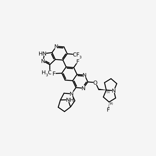 Cc1n[nH]c2ncc(C(F)(F)F)c(-c3c(F)cc4c(N5CC6CCC(C5)N6)nc(OC[C@@]56CCCN5C[C@H](F)C6)nc4c3F)c12